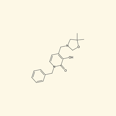 CC1(C)CN(Cc2ccn(Cc3ccccc3)c(=O)c2O)CO1